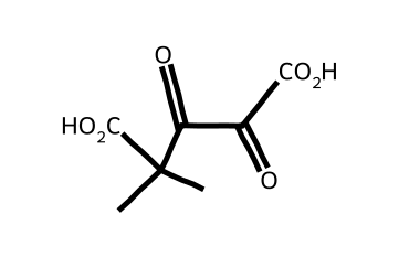 CC(C)(C(=O)O)C(=O)C(=O)C(=O)O